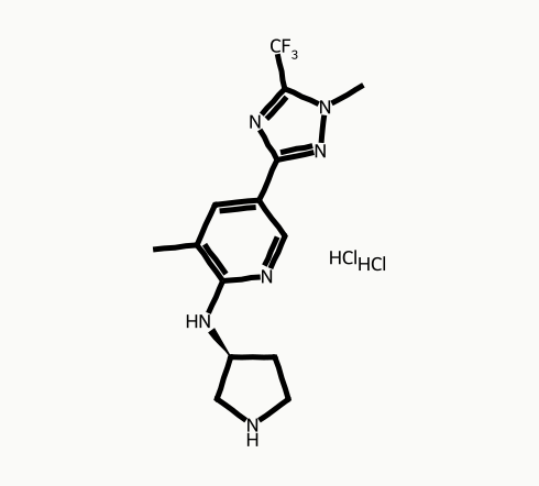 Cc1cc(-c2nc(C(F)(F)F)n(C)n2)cnc1N[C@H]1CCNC1.Cl.Cl